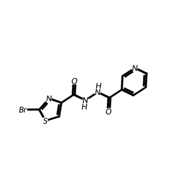 O=C(NNC(=O)c1csc(Br)n1)c1cccnc1